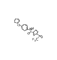 O=C(Nc1ccc(Oc2ccccc2)cc1)c1ccc(C(=O)C(F)(F)F)s1